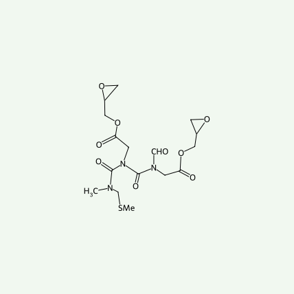 CSCN(C)C(=O)N(CC(=O)OCC1CO1)C(=O)N(C=O)CC(=O)OCC1CO1